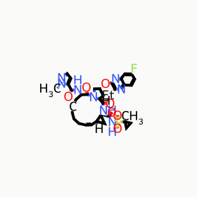 CCc1nc2ccc(F)cc2nc1O[C@@H]1C[C@H]2C(=O)N[C@]3(C(=O)NS(=O)(=O)C4(C)CC4)C[C@H]3/C=C\CCCCC[C@H](NC(=O)c3ccnn3C)C(=O)N2C1